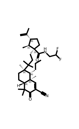 C=C(C)[C@@H]1CC[C@@](CCC(C)(C)[C@]2(C)CC[C@H]3C(C)(C)C(=O)C(C#N)=C[C@]3(C)[C@H]2CCC)(C(=O)NCC(F)F)[C@H]1C